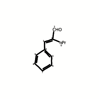 CCC/C(C=O)=C\c1ccccc1